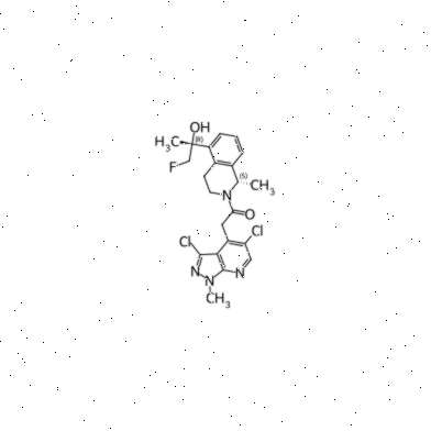 C[C@H]1c2cccc([C@@](C)(O)CF)c2CCN1C(=O)Cc1c(Cl)cnc2c1c(Cl)nn2C